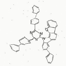 c1ccc(-c2ccc(-c3nc(-c4ccc(-c5ccccc5)cc4)nc(-n4c5ccc(-c6ccccc6)cc5c5ccc6c7ccccc7oc6c54)n3)cc2)cc1